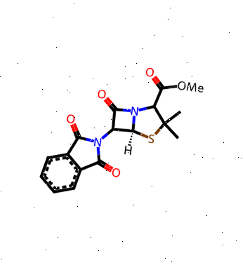 COC(=O)C1N2C(=O)C(N3C(=O)c4ccccc4C3=O)[C@@H]2SC1(C)C